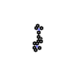 C[Si]1(C)c2cc(-c3ccc(N(c4ccccc4)c4cccc5ccccc45)cc3)ccc2-c2cc3c4ccccc4c(N(c4ccccc4)c4cccc5ccccc45)cc3c3cccc1c23